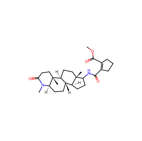 COC(=O)C1=C(C(=O)NC2CC[C@H]3[C@@H]4CC[C@H]5N(C)C(=O)CC[C@]5(C)[C@H]4CC[C@]23C)CCC1